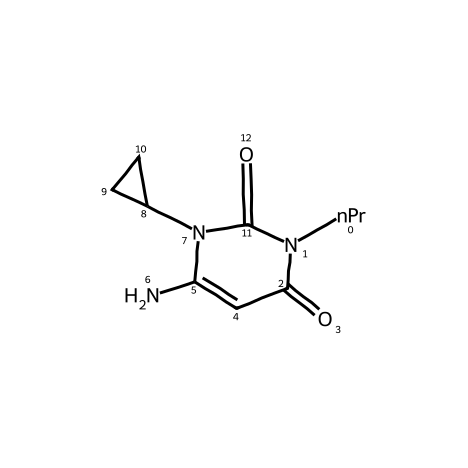 CCCn1c(=O)cc(N)n(C2CC2)c1=O